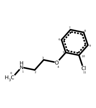 CNCCOc1ccccc1Cl